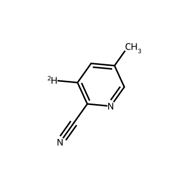 [2H]c1cc(C)cnc1C#N